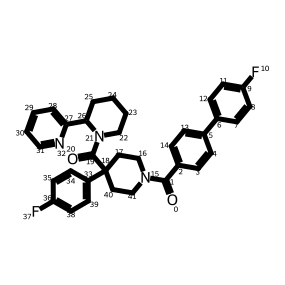 O=C(c1ccc(-c2ccc(F)cc2)cc1)N1CCC(C(=O)N2CCCCC2c2ccccn2)(c2ccc(F)cc2)CC1